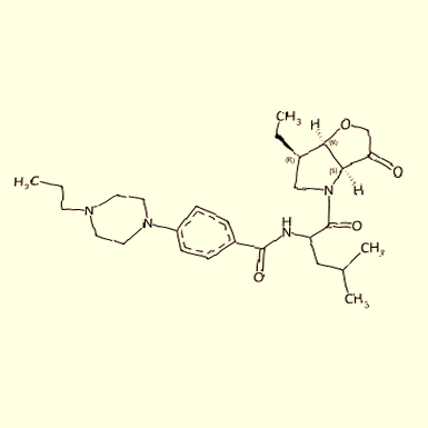 CCCN1CCN(c2ccc(C(=O)NC(CC(C)C)C(=O)N3C[C@@H](CC)[C@H]4OCC(=O)[C@H]43)cc2)CC1